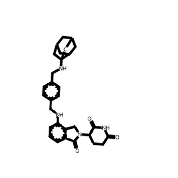 O=C1CCC(N2Cc3c(NCc4ccc(CNC56CC7CC(CC5C7)C6)cc4)cccc3C2=O)C(=O)N1